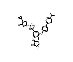 CC(C)c1ccc(-c2ccc(Oc3cc(-c4nc([C@@H]5CC(=O)N(C6CC6)C5)no4)ccc3CN3C[C@H](C)NC3=O)cc2)nn1